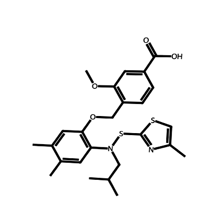 COc1cc(C(=O)O)ccc1COc1cc(C)c(C)cc1N(CC(C)C)Sc1nc(C)cs1